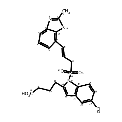 Cc1nc2cccc(C=CCS(=O)(=O)n3c(CCCC(=O)O)cc4cc(Cl)ccc43)c2s1